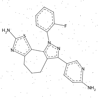 Nc1ccc(-c2nn(-c3ccccc3F)c3c2CCCc2nc(N)sc2-3)cn1